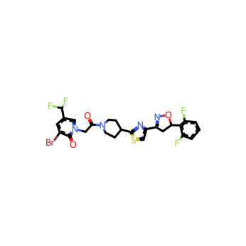 O=C(Cn1cc(C(F)F)cc(Br)c1=O)N1CCC(c2nc(C3=NOC(c4c(F)cccc4F)C3)cs2)CC1